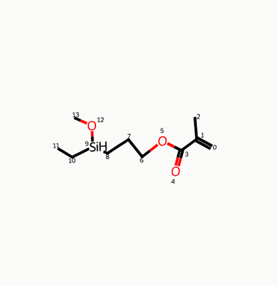 C=C(C)C(=O)OCCC[SiH](CC)OC